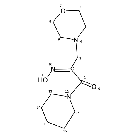 O=C(C(CN1CCOCC1)=NO)N1CCCCC1